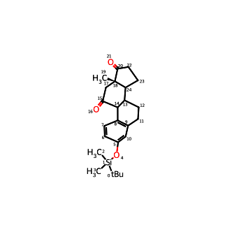 CC(C)(C)[Si](C)(C)Oc1ccc2c(c1)CCC1C2C(=O)C[C@]2(C)C(=O)CCC12